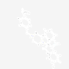 COc1ccc(CN2CCN(C3(c4ccccc4)Cc4cc(F)ccc4C3=O)CC2)cc1